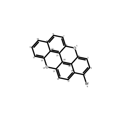 Brc1ccc2oc3ccc4cccc5oc6ccc1c2c6-c3c45